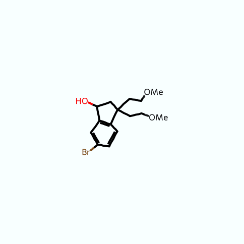 COCCC1(CCOC)CC(O)c2cc(Br)ccc21